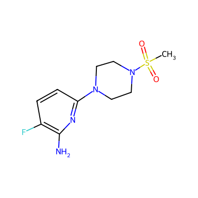 CS(=O)(=O)N1CCN(c2ccc(F)c(N)n2)CC1